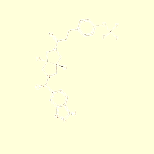 O=C(CCc1ccc(OC(F)(F)F)cc1)N1C[C@@H]2CN(C(=O)c3ccc4[nH]nnc4c3)C[C@H]2C1